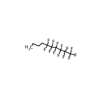 CCC[CH]C(F)(F)C(F)(F)C(F)(F)C(F)(F)C(F)(F)C(F)(F)F